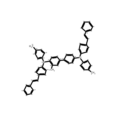 Cc1ccc(N(c2ccc(/C=C/c3ccccc3)cc2)c2ccc(-c3ccc(N(c4ccc(C)cc4)c4ccc(/C=C/c5ccccc5)cc4)c(C)c3)cc2)cc1